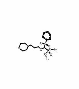 CCOP(=O)(OCC)C(OCCCN1CCOCC1)S(=O)(=O)c1ccccc1